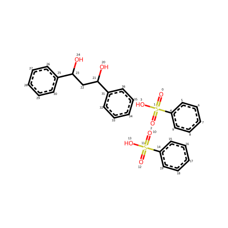 O=S(=O)(O)c1ccccc1.O=S(=O)(O)c1ccccc1.OC(CC(O)c1ccccc1)c1ccccc1